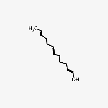 CC=CCCC=CCCCC=CO